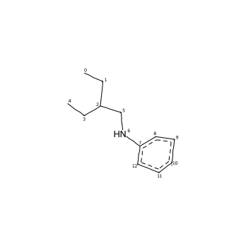 CCC(CC)CNc1cc[c]cc1